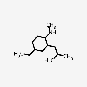 CCC1CCC(NC)C(CC(C)C)C1